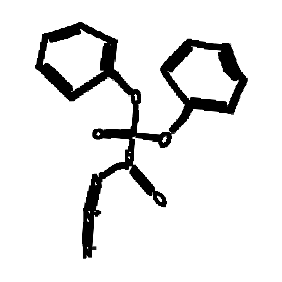 [N-]=[N+]=N[PH](=O)P(=O)(Oc1ccccc1)Oc1ccccc1